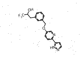 OC(Cc1cccc(COc2ccc(-c3ccn[nH]3)nc2)c1)C(F)(F)F